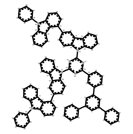 c1ccc(-c2cc(-c3ccccc3)cc(-c3cccc(-c4nc(-n5c6ccccc6c6cc(-c7cccc8c7c7ccccc7n8-c7ccccc7)ccc65)nc(-n5c6ccccc6c6cc(-c7cccc8c7c7ccccc7n8-c7ccccc7)ccc65)n4)c3)c2)cc1